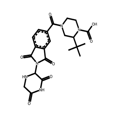 CC(C)(C)C1CN(C(=O)c2ccc3c(c2)C(=O)N(C2NCC(=O)NC2=O)C3=O)CCN1C(=O)O